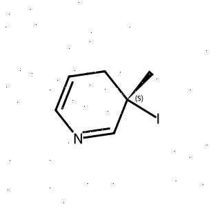 C[C@@]1(I)C=NC=CC1